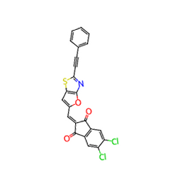 O=C1C(=Cc2cc3sc(C#Cc4ccccc4)nc3o2)C(=O)c2cc(Cl)c(Cl)cc21